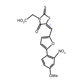 COc1ccc(-c2ccc(/C=C3/SC(=S)N(CC(=O)O)C3=O)o2)c([N+](=O)[O-])c1